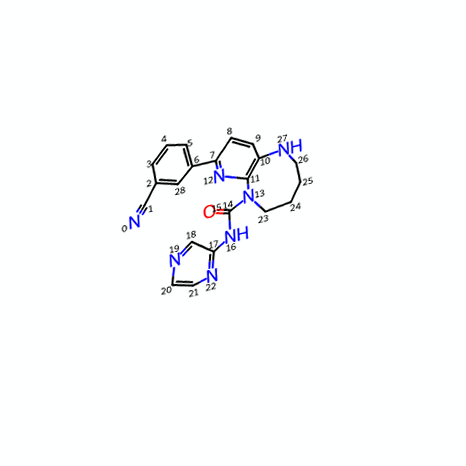 N#Cc1cccc(-c2ccc3c(n2)N(C(=O)Nc2cnccn2)CCCCN3)c1